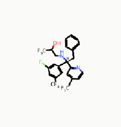 OC(CN[C@@](Cc1ccccc1)(c1cc(F)cc(C(F)(F)F)c1)c1cc(C(F)(F)F)ccn1)C(F)(F)F